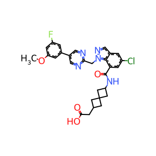 COc1cc(F)cc(-c2cnc(Cn3ncc4cc(Cl)cc(C(=O)NC5CC6(CC(CC(=O)O)C6)C5)c43)nc2)c1